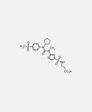 CN(C(=O)N(c1ccc(S(C)(=O)=O)cc1)C1CCCC1)c1ncc(S(=O)(=O)NCCC(=O)O)s1